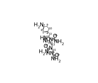 NNC(CC1=CC=C(N)CC1)N(CCN(CNC(N)=O)C(N)=O)C(N)=O